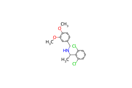 COc1ccc(CNC(C)c2c(Cl)cccc2Cl)cc1OC